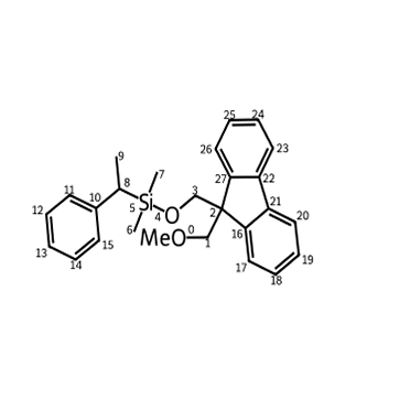 COCC1(CO[Si](C)(C)C(C)c2ccccc2)c2ccccc2-c2ccccc21